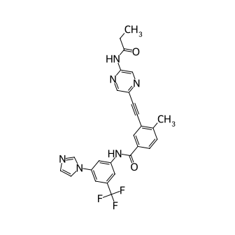 CCC(=O)Nc1cnc(C#Cc2cc(C(=O)Nc3cc(-n4ccnc4)cc(C(F)(F)F)c3)ccc2C)cn1